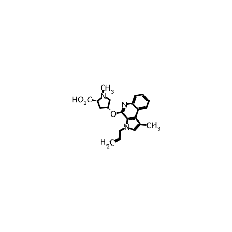 C=CCn1cc(C)c2c3ccccc3nc(O[C@@H]3C[C@@H](C(=O)O)N(C)C3)c21